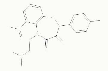 Cc1ccc(C2Sc3cccc([N+](=O)[O-])c3N(CCN(C)C)C(=O)C2=O)cc1